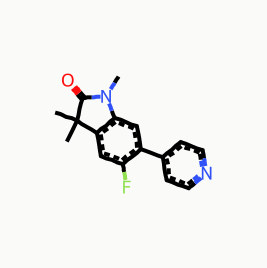 CN1C(=O)C(C)(C)c2cc(F)c(-c3ccncc3)cc21